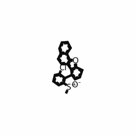 C[S+]([O-])c1cccc(Cl)c1-c1cccc2oc3c4ccccc4ccc3c12